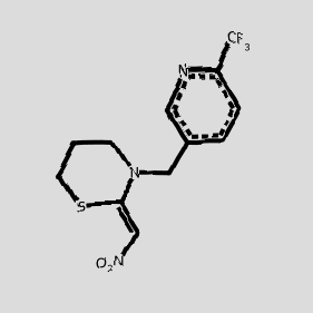 O=[N+]([O-])C=C1SCCCN1Cc1ccc(C(F)(F)F)nc1